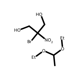 CCOC(C)OCC.O=[N+]([O-])C(Br)(CO)CO